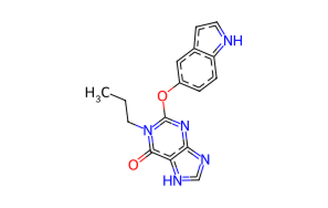 CCCn1c(Oc2ccc3[nH]ccc3c2)nc2nc[nH]c2c1=O